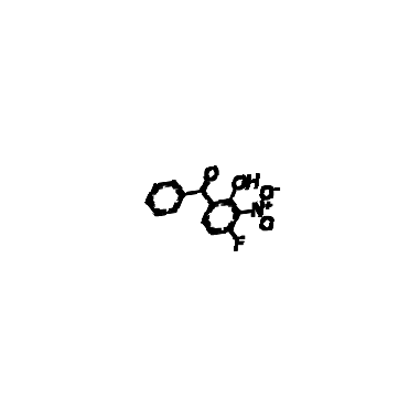 O=C(c1ccccc1)c1ccc(F)c([N+](=O)[O-])c1O